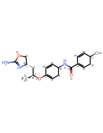 NC1=N[C@@H](C[C@@H](OC2=CCC(NC(=O)C3=CCC(Cl)C=C3)C=C2)C(F)(F)F)CO1